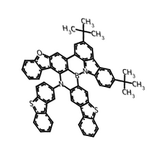 CC(C)(C)c1ccc2c(c1)c1cc(C(C)(C)C)cc3c1n2B1c2cc4sc5ccccc5c4cc2N(c2ccc4sc5ccccc5c4c2)c2c1c-3cc1oc3ccccc3c21